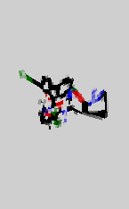 N#C[C@H](C[C@H]1CCCNC1=O)NC(=O)[C@@H]1[C@H]2CC[C@H](CC2(F)F)N1C(=O)C1(O)c2cc(F)ccc2-c2ccc(F)cc21